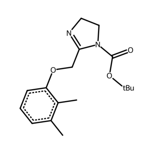 Cc1cccc(OCC2=NCCN2C(=O)OC(C)(C)C)c1C